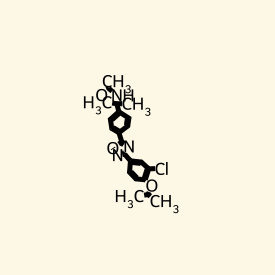 CC(=O)NC(C)(C)c1ccc(-c2nc(-c3ccc(OC(C)C)c(Cl)c3)no2)cc1